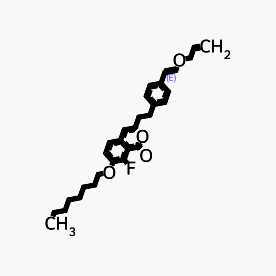 C=CCO/C=C/c1ccc(CCc2cc3ccc(OCCCCCCCC)c(F)c3c(=O)o2)cc1